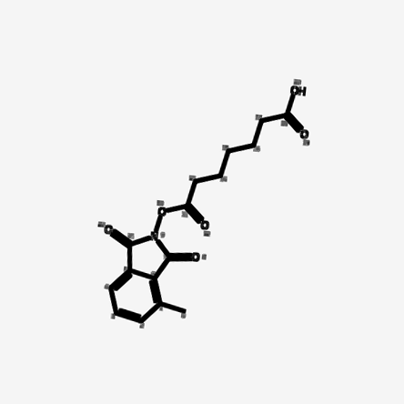 Cc1cccc2c1C(=O)N(OC(=O)CCCCCC(=O)O)C2=O